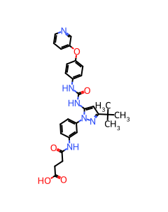 CC(C)(C)c1cc(NC(=O)Nc2ccc(Oc3cccnc3)cc2)n(-c2cccc(NC(=O)CCC(=O)O)c2)n1